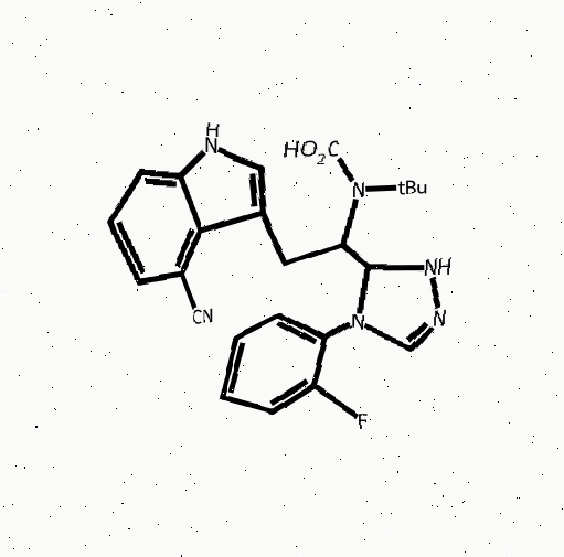 CC(C)(C)N(C(=O)O)C(Cc1c[nH]c2cccc(C#N)c12)C1NN=CN1c1ccccc1F